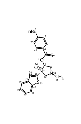 CCCCc1ccc(C(=S)OC2CN(C)C[N+]2([O-])c2nc3ccccc3s2)cc1